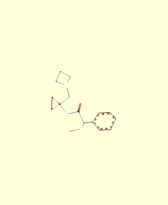 CCOC(C(=O)NC1(CN2CCC2)CC1)c1ccccc1